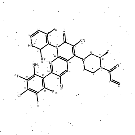 C=CC(=O)N1CCN(c2c(C#N)c(=O)n(C3=C(C)C=CNC3C(C)C)c3nc(-c4c(N)c(F)c(Cl)c(F)c4F)c(Cl)cc23)C[C@H]1C